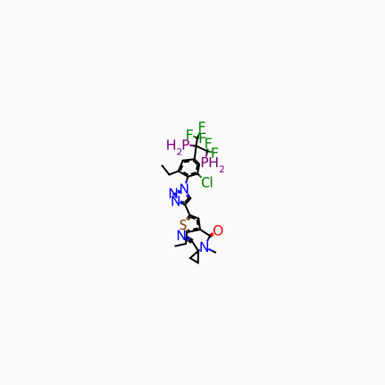 CCc1cc(C(P)(C(F)(F)F)C(F)(F)P)cc(Cl)c1-n1cc(-c2cc(C(=O)N(C)C3(C#N)CC3)c(CC)s2)nn1